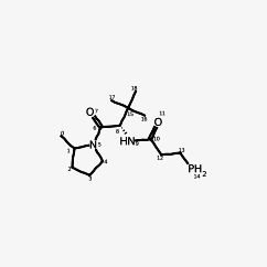 CC1CCCN1C(=O)[C@@H](NC(=O)CCP)C(C)(C)C